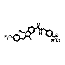 CCS(=O)(=O)c1ccc(CNC(=O)c2ccc3c(c2)c(C)c(Cc2ccc(C(F)(F)F)cc2)n3C(C)C)cc1